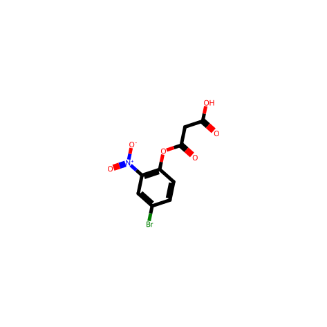 O=C(O)CC(=O)Oc1ccc(Br)cc1[N+](=O)[O-]